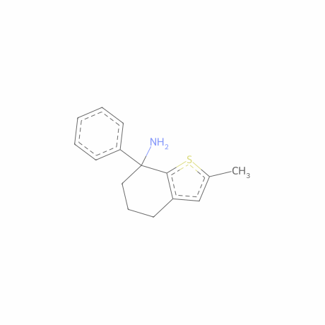 Cc1cc2c(s1)C(N)(c1ccccc1)CCC2